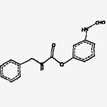 O=CNc1cccc(OC(=O)NCc2ccccc2)c1